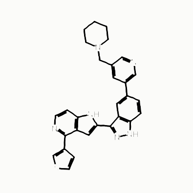 c1cc2[nH]c(-c3n[nH]c4ccc(-c5cncc(CN6CCCCC6)c5)cc34)cc2c(-c2ccsc2)n1